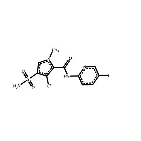 Cn1cc(S(N)(=O)=O)c(Cl)c1C(=O)Nc1ccc(F)cn1